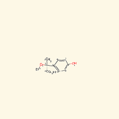 CCO[C@](C)(C(=O)O)c1ccc(O)cc1